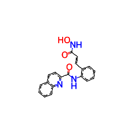 O=C(C=Cc1ccccc1NC(=O)c1ccc2ccccc2n1)NO